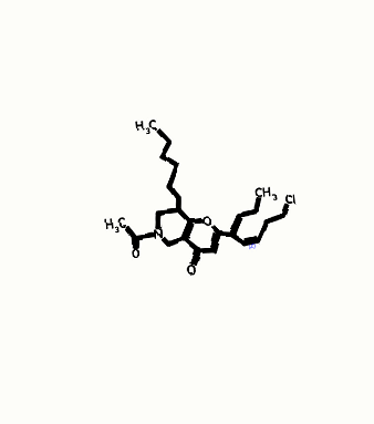 CCC=C(/C=C\CCCl)c1cc(=O)c2c(o1)C(CCCCCC)CN(C(C)=O)C2